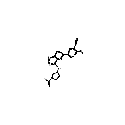 COc1ncc(-c2ccc3ncnc(NC4CCN(C(=O)O)C4)c3n2)cc1C#N